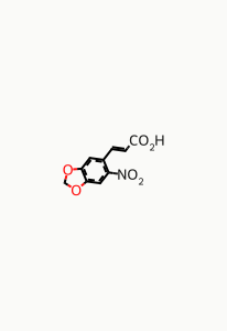 O=C(O)C=Cc1cc2c(cc1[N+](=O)[O-])OCO2